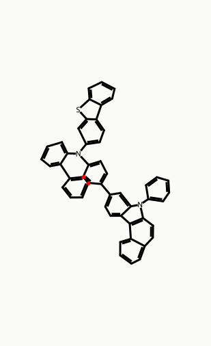 c1ccc(-c2ccccc2N(c2ccc(-c3ccc4c5c6ccccc6ccc5n(-c5ccccc5)c4c3)cc2)c2ccc3c(c2)sc2ccccc23)cc1